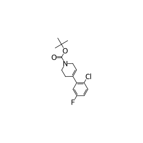 CC(C)(C)OC(=O)N1CC=C(c2cc(F)ccc2Cl)CC1